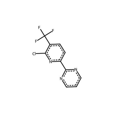 FC(F)(F)c1ccc(-c2ncccn2)nc1Cl